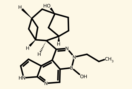 CCCN1N=C([C@@H]2[C@H]3CC[C@](O)(C3)C[C@H]3C[C@@H]2C3)c2c(cnc3[nH]ccc23)B1O